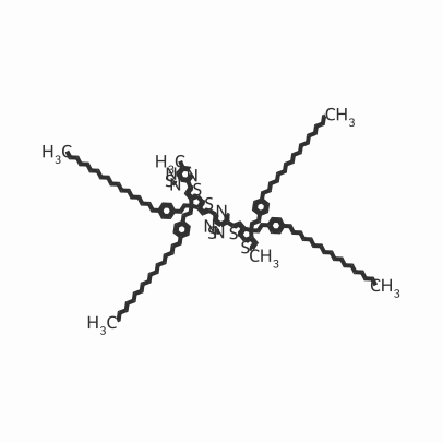 CCCCCCCCCCCCCCCCCCc1ccc(CCC2(CCc3ccc(CCCCCCCCCCCCCCCCCC)cc3)c3cc(C)sc3-c3sc(-c4cnc(-c5cc6c(s5)-c5sc(-c7ncc(C)c8nsnc78)cc5C6(CCc5ccc(CCCCCCCCCCCCCCCCCC)cc5)CCc5ccc(CCCCCCCCCCCCCCCCCC)cc5)c5nsnc45)cc32)cc1